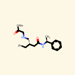 COC(=O)CNC[C@H](CC(=O)N[C@@H](C)c1ccccc1)CC(C)C